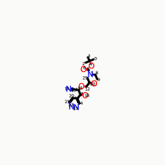 CC(C)(C)OC(=O)N1CCOC(COC(C#N)C(=O)c2ccnnc2)C1